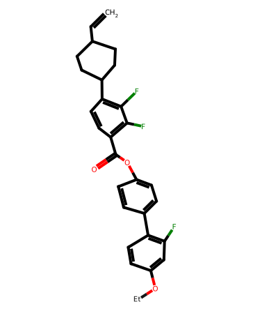 C=CC1CCC(c2ccc(C(=O)Oc3ccc(-c4ccc(OCC)cc4F)cc3)c(F)c2F)CC1